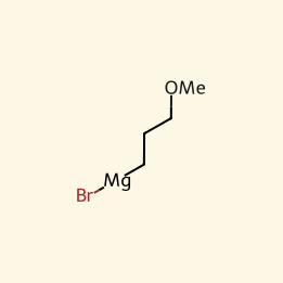 COCC[CH2][Mg][Br]